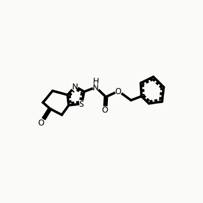 O=C1CCc2nc(NC(=O)OCc3ccccc3)sc2C1